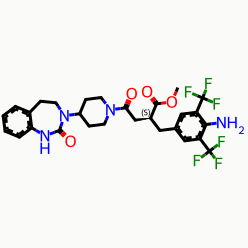 COC(=O)[C@H](CC(=O)N1CCC(N2CCc3ccccc3NC2=O)CC1)Cc1cc(C(F)(F)F)c(N)c(C(F)(F)F)c1